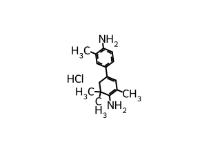 CC1=C(N)C(C)(C)CC(c2ccc(N)c(C)c2)=C1.Cl